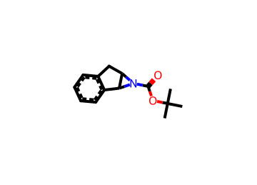 CC(C)(C)OC(=O)N1C2Cc3ccccc3C21